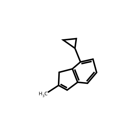 CC1=Cc2cccc(C3CC3)c2C1